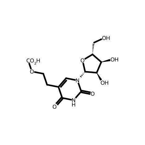 O=C(O)OCCc1cn([C@@H]2O[C@H](CO)[C@@H](O)[C@H]2O)c(=O)[nH]c1=O